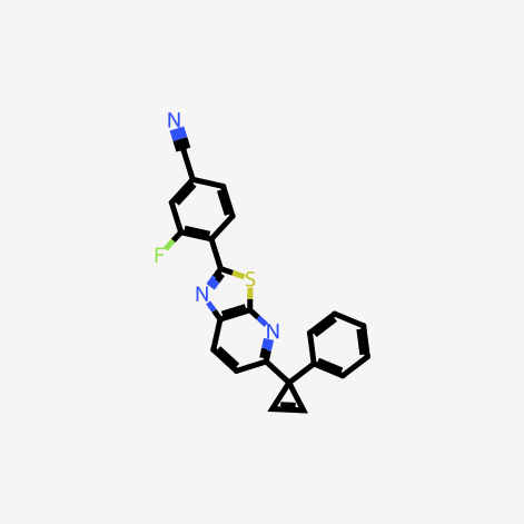 N#Cc1ccc(-c2nc3ccc(C4(c5ccccc5)C=C4)nc3s2)c(F)c1